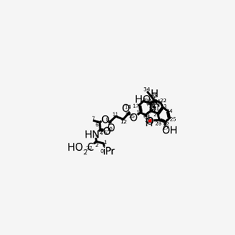 CC(C)CC(NC(=O)C(C)OC(=O)CCC(=O)OC1=CC[C@@]2(O)[C@H]3Cc4ccc(O)c5c4[C@@]2(CCN3C)[C@H]1O5)C(=O)O